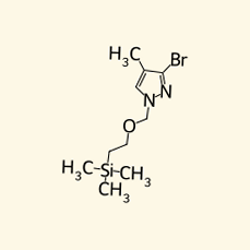 Cc1cn(COCC[Si](C)(C)C)nc1Br